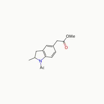 COC(=O)Cc1ccc2c(c1)CC(C)N2C(C)=O